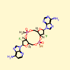 BP1(=O)OC[C@H]2O[C@@H](n3cnc4c(N)ncnc43)[C@H](F)[C@@H]2OP(=O)(S)OC[C@H]2O[C@@H](n3cnc4c(N)ccnc43)[C@H](F)[C@@H]2O1